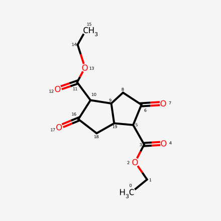 CCOC(=O)C1C(=O)CC2C(C(=O)OCC)C(=O)CC12